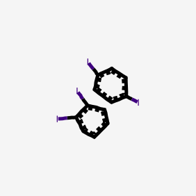 Ic1ccc(I)cc1.Ic1ccccc1I